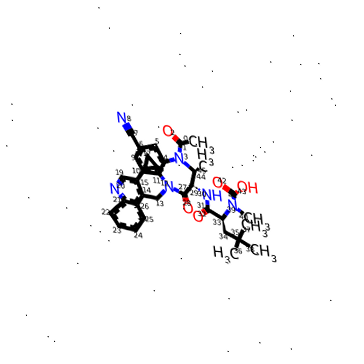 CC(=O)N1c2cc(C#N)ccc2N(Cc2c(C3CC3)cnc3ccccc23)C(=O)[C@@H](NC(=O)[C@H](CC(C)(C)C)N(C)C(=O)O)[C@@H]1C